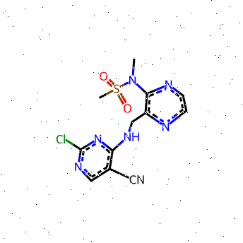 CN(c1nccnc1CNc1nc(Cl)ncc1C#N)S(C)(=O)=O